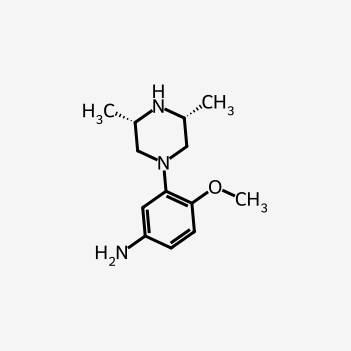 COc1ccc(N)cc1N1C[C@@H](C)N[C@@H](C)C1